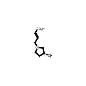 O=C(O)C=CCN1CC[C@H](O)C1